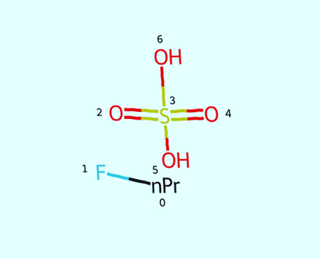 CCCF.O=S(=O)(O)O